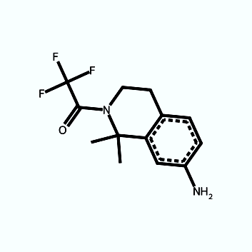 CC1(C)c2cc(N)ccc2CCN1C(=O)C(F)(F)F